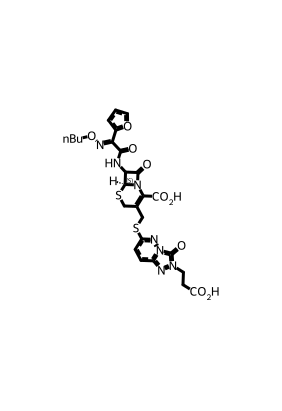 CCCCON=C(C(=O)NC1C(=O)N2C(C(=O)O)=C(CSc3ccc4nn(CCC(=O)O)c(=O)n4n3)CS[C@@H]12)c1ccco1